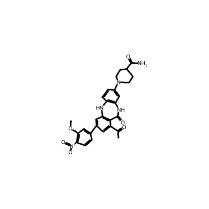 COc1cc(-c2cc3c(c(C(C)=O)c2)C(=O)Nc2cc(N4CCC(C(N)=O)CC4)ccc2N3)ccc1[N+](=O)[O-]